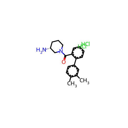 Cc1ccc(-c2ccccc2C(=O)N2CCC[C@@H](N)C2)cc1C.Cl.Cl